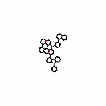 C1=Cc2c(n(-c3ccccc3)c3cccc(-c4ccc(N(c5cccc(-c6cccc7ccccc67)c5)c5ccccc5-c5cccc6cccc(C7CCCCC7)c56)cc4)c23)CC1